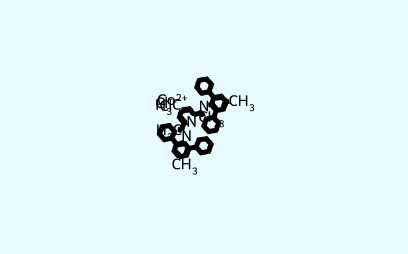 CC(=Nc1c(C2CCCCC2)cc(C)cc1C1CCCCC1)c1cc(C)cc(C(C)=Nc2c(C3CCCCC3)cc(C)cc2C2CCCCC2)n1.[Cl-].[Cl-].[Co+2]